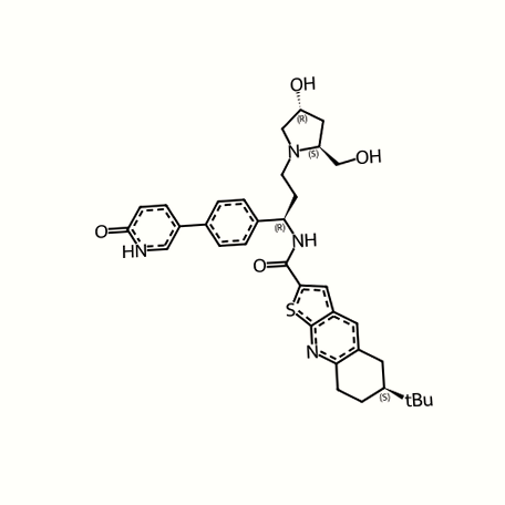 CC(C)(C)[C@H]1CCc2nc3sc(C(=O)N[C@H](CCN4C[C@H](O)C[C@H]4CO)c4ccc(-c5ccc(=O)[nH]c5)cc4)cc3cc2C1